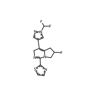 FC1CC2=C(c3cnn(C(F)F)c3)CN=C(c3nccs3)N2C1